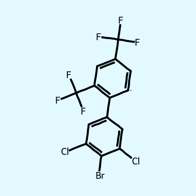 FC(F)(F)c1c[c]c(-c2cc(Cl)c(Br)c(Cl)c2)c(C(F)(F)F)c1